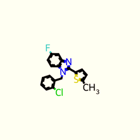 Cc1ccc(-c2nc3cc(F)ccc3n2Cc2ccccc2Cl)s1